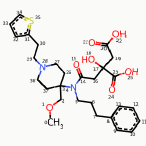 COCC1(N(CCCc2ccccc2)C(=O)CC(O)(CC(=O)O)C(=O)O)CCN(CCc2cccs2)CC1